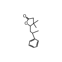 CC(CC1OC(=O)CC1(C)C)c1ccccc1